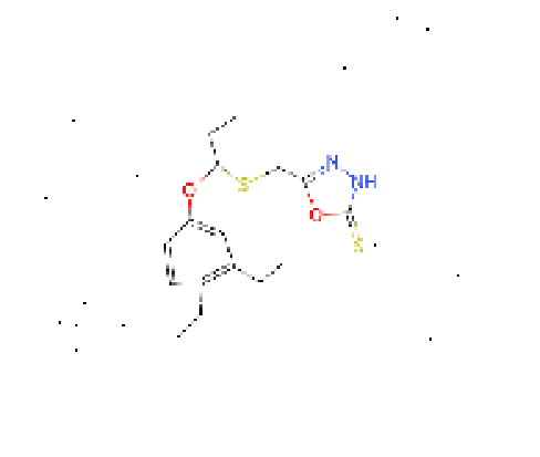 CCc1ccc(OC(CC)SCc2n[nH]c(=S)o2)cc1CC